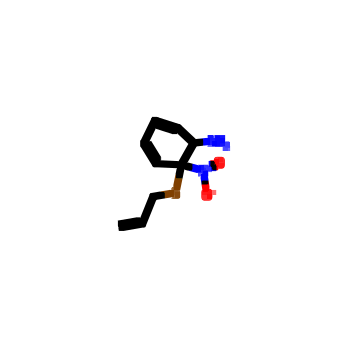 C=CCSC1([N+](=O)[O-])C=CC=CC1N